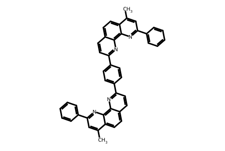 Cc1cc(-c2ccccc2)nc2c1ccc1ccc(-c3ccc(-c4ccc5ccc6c(C)cc(-c7ccccc7)nc6c5n4)cc3)nc12